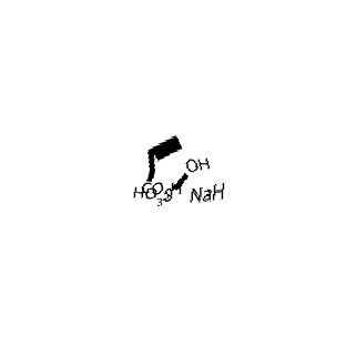 C=CC(=O)O.O=S(=O)(O)O.[NaH]